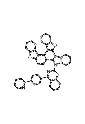 c1ccc(-c2ccc(-c3nc(-n4c5ccccc5c5c6oc7ccccc7c6c6c(ccc7oc8ccccc8c76)c54)nc4ccccc34)cc2)nc1